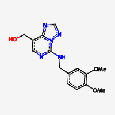 COc1ccc(CNc2ncc(CO)c3ncnn23)cc1OC